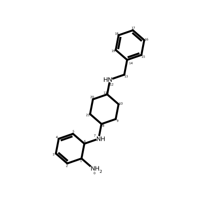 NC1C=CC=CC1NC1CCC(NCc2ccccc2)CC1